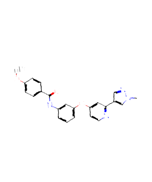 CCCOc1ccc(C(=O)Nc2cccc(Oc3ccnc(-c4cnn(C)c4)c3)c2)cc1